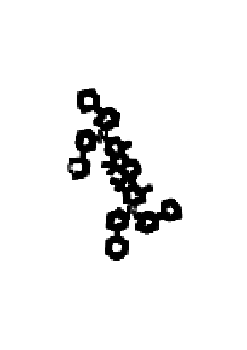 Cc1cc(N(c2cccc(C3CCCCC3)c2)c2cccc(C3CCCCC3)c2)cc2c1-c1ccc3c(c1C2(C)C)C(C)(C)c1cc(N(c2cccc(C4CCCCC4)c2)c2cccc(C4CCCCC4)c2)cc(C)c1-3